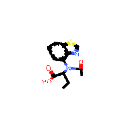 CCC(C(=O)O)N(C(C)=O)c1cccc2scnc12